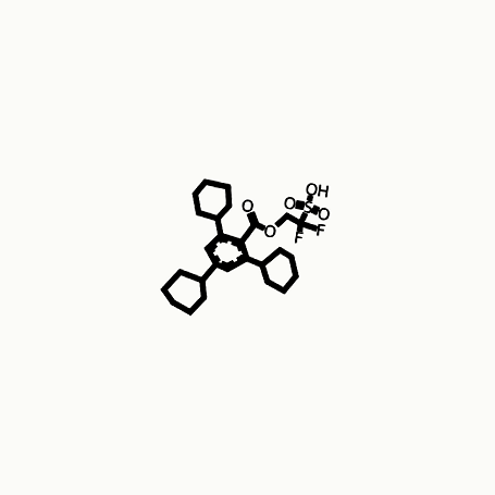 O=C(OCC(F)(F)S(=O)(=O)O)c1c(C2CCCCC2)cc(C2CCCCC2)cc1C1CCCCC1